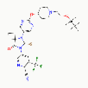 CC(C)(C)[Si](C)(C)OCCN1CCC(Oc2ncc(N3C(=S)N(c4cnc(C#N)c(C(F)(F)F)c4)C(=O)C34CCC4)cn2)CC1